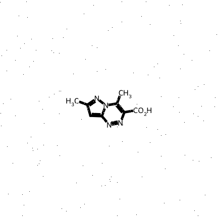 Cc1cc2nnc(C(=O)O)c(C)n2n1